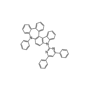 c1ccc(-c2cc(-c3ccccc3)nc(-n3c4ccccc4c4c5c(ccc43)N(c3ccccc3)c3ccccc3-c3ccccc3-5)n2)cc1